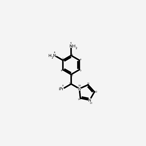 CC(C)C(c1ccc(N)c(N)c1)n1ccnc1